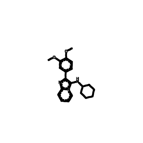 COc1ccc(-c2nc3ccccn3c2NC2CCCCC2)cc1OC